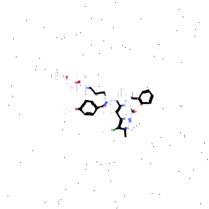 CC[C@H](C)[C@@H](c1cc2c(Cl)c(C)nn2c(=O)n1Cc1ccccc1)N(CCCNC(=O)OC(C)(C)C)C(=O)c1ccc(Br)cc1